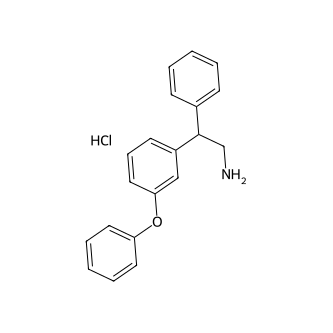 Cl.NCC(c1ccccc1)c1cccc(Oc2ccccc2)c1